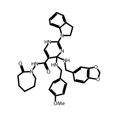 COc1ccc(CNC2(NCc3ccc4c(c3)OCO4)N=C(N3CCc4ccccc43)NC=C2C(=O)NN2CCCCCC2=O)cc1